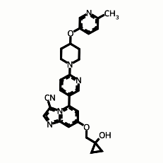 Cc1ccc(OC2CCN(c3ccc(-c4cc(OCC5(O)CC5)cc5ncc(C#N)n45)cn3)CC2)cn1